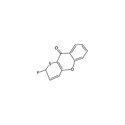 O=c1c2c(oc3ccccc13)C=CC(F)S2